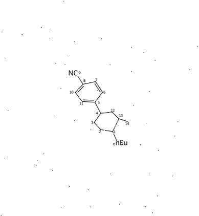 CCCCC1CCC(c2ccc(C#N)cc2)CC1C